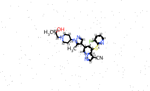 Cc1c(-c2cc(Sc3ncccc3F)c3c(C#N)cnn3c2)cnn1C1CCN(C[C@H](C)O)CC1